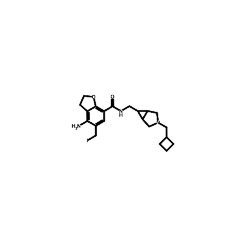 Nc1c(CI)cc(C(=O)NCC2C3CN(CC4CCC4)CC23)c2c1CCO2